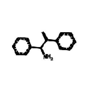 C=C(c1ccccc1)[C@@H](N)c1ccccc1